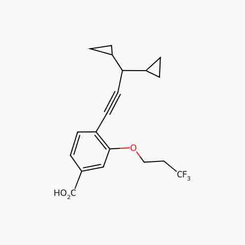 O=C(O)c1ccc(C#CC(C2CC2)C2CC2)c(OCCC(F)(F)F)c1